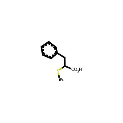 CC(C)SC(Cc1ccccc1)C(=O)O